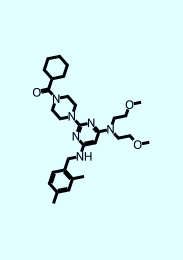 COCCN(CCOC)c1cc(NCc2ccc(C)cc2C)nc(N2CCN(C(=O)C3CCCCC3)CC2)n1